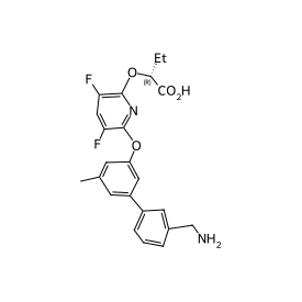 CC[C@@H](Oc1nc(Oc2cc(C)cc(-c3cccc(CN)c3)c2)c(F)cc1F)C(=O)O